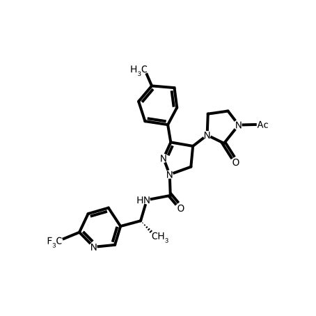 CC(=O)N1CCN(C2CN(C(=O)N[C@H](C)c3ccc(C(F)(F)F)nc3)N=C2c2ccc(C)cc2)C1=O